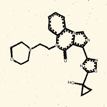 O=c1c2c(-c3noc(C4(O)CC4)n3)ncn2c2ccccc2n1CCN1CCOCC1